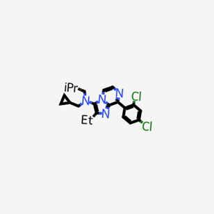 CCc1nc2c(-c3ccc(Cl)cc3Cl)nccn2c1N(CC(C)C)CC1CC1